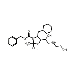 CC1(C)OC(C(O)CNCCO)[C@H](CC2CCCCC2)N1C(=O)OCc1ccccc1